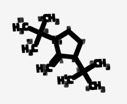 C=C1C(C(C)(C)C)CCN1C(C)(C)C